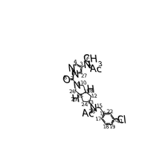 CC(=O)N(C)c1cnn(C(=O)N2C[C@H]3CC(N(Cc4cccc(Cl)c4)C(C)=O)C[C@H]3C2)c1